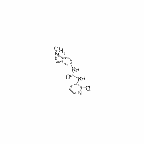 Cn1ccc2cc(NC(=O)Nc3cccnc3Cl)ccc21